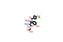 Cc1c(C(C)C(=O)NCC(=O)O)c2cc(O)c(F)cc2n1C(=O)c1ccc(OC(F)(F)F)cc1